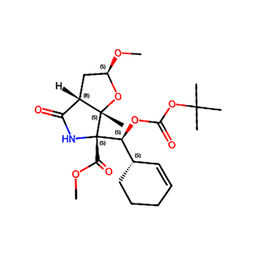 COC(=O)[C@@]1([C@@H](OC(=O)OC(C)(C)C)[C@@H]2C=CCCC2)NC(=O)[C@@H]2C[C@@H](OC)O[C@@]21C